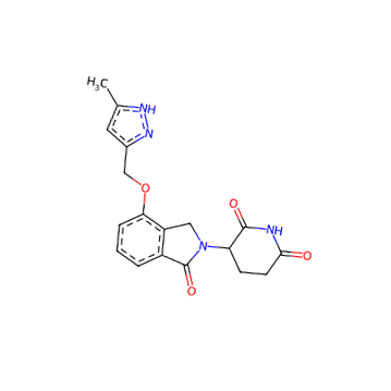 Cc1cc(COc2cccc3c2CN(C2CCC(=O)NC2=O)C3=O)n[nH]1